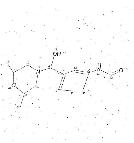 CC1CN(C(O)c2cccc(NC=O)c2)CC(C)O1